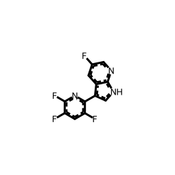 Fc1cnc2[nH]cc(-c3nc(F)c(F)cc3F)c2c1